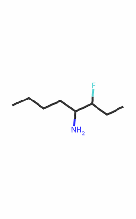 CCCCC(N)C(F)CC